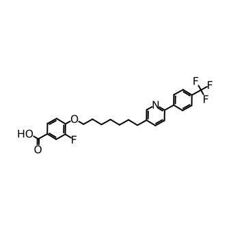 O=C(O)c1ccc(OCCCCCCCc2ccc(-c3ccc(C(F)(F)F)cc3)nc2)c(F)c1